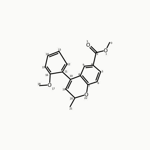 COC(=O)c1ccc2c(c1)C(c1ccccc1OC)=CC(C)O2